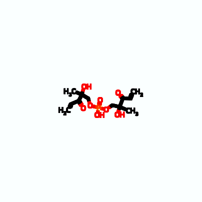 C=CC(=O)C(C)(O)COP(=O)(O)OCC(C)(O)C(=O)C=C